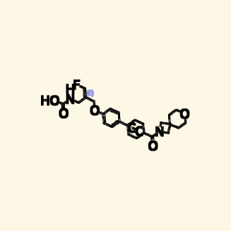 O=C(O)NC/C(=C\F)COc1ccc(C23CCC(C(=O)N4CC5(CCOCC5)C4)(CC2)CC3)cc1